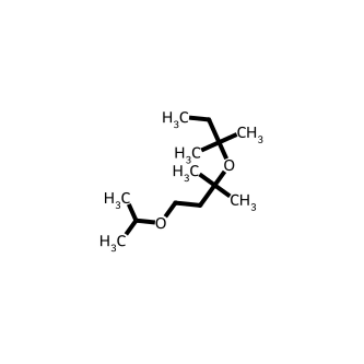 CCC(C)(C)OC(C)(C)CCOC(C)C